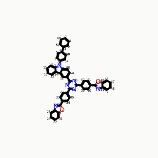 c1ccc(-c2ccc(-n3c4ccccc4c4cc(-c5nc(-c6ccc(-c7nc8ccccc8o7)cc6)nc(-c6ccc(-c7nc8ccccc8o7)cc6)n5)ccc43)cc2)cc1